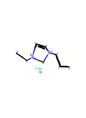 CCCN1C=CN(CC)C1.F